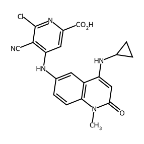 Cn1c(=O)cc(NC2CC2)c2cc(Nc3cc(C(=O)O)nc(Cl)c3C#N)ccc21